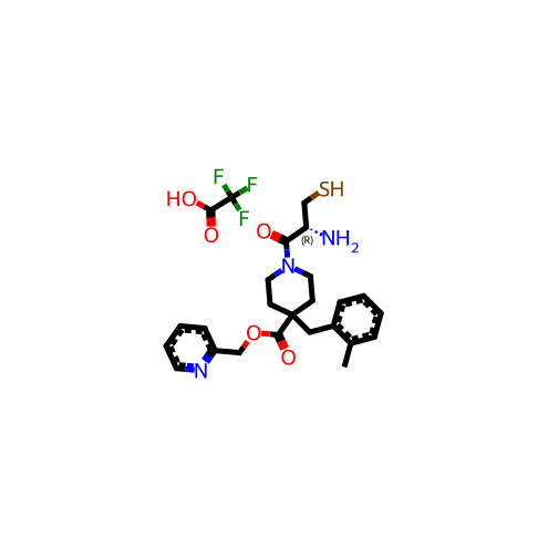 Cc1ccccc1CC1(C(=O)OCc2ccccn2)CCN(C(=O)[C@@H](N)CS)CC1.O=C(O)C(F)(F)F